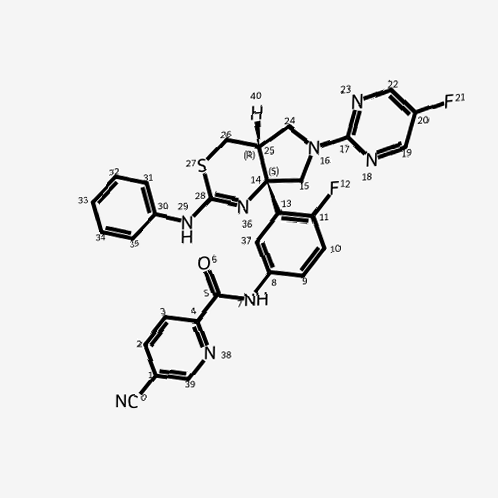 N#Cc1ccc(C(=O)Nc2ccc(F)c([C@]34CN(c5ncc(F)cn5)C[C@H]3CSC(Nc3ccccc3)=N4)c2)nc1